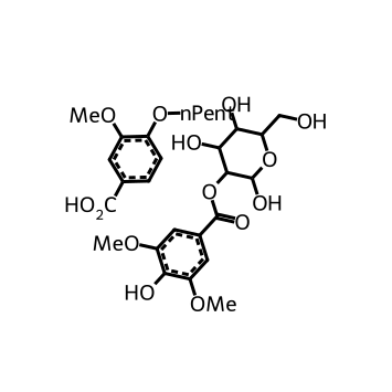 CCCCCOc1ccc(C(=O)O)cc1OC.COc1cc(C(=O)OC2C(O)OC(CO)C(O)C2O)cc(OC)c1O